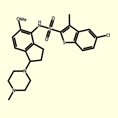 COc1ccc2c(c1NS(=O)(=O)c1sc3ccc(Cl)cc3c1C)CCC2N1CCN(C)CC1